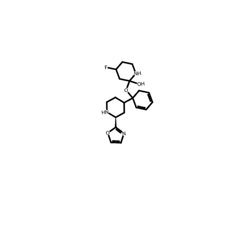 OC1(OC2(C3CCN[C@H](c4ncco4)C3)C=CC=CC2)CC(F)CCN1